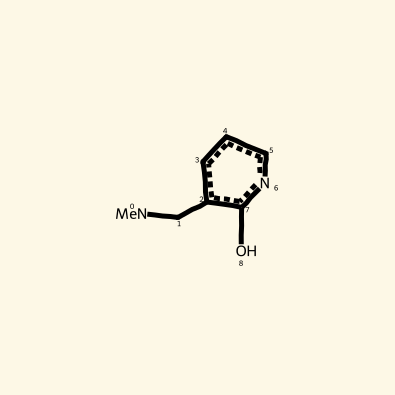 CNCc1cccnc1O